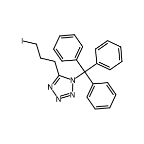 ICCCc1nnnn1C(c1ccccc1)(c1ccccc1)c1ccccc1